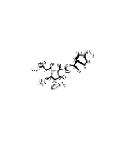 CC1[C@@H](C)C(=O)C(C(=O)C(=O)OC(=O)c2ccc([N+](=O)[O-])cc2)N1C(=O)C[C@@H](C)O